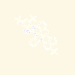 CC(C)(C)c1cc2c(c(C(C)(C)C)c1)N1c3cccc4cc5c6c(c34)N(c3ccccc3B6c3ccc(C(C)(C)C)c4cccc-5c34)C1N2